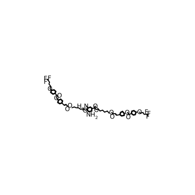 Nc1cc(C(=O)OCCCCCCOC(=O)/C=C/c2ccc(OC(=O)c3ccc(OCCCC(F)(F)F)cc3)cc2)cc(N)c1OCCCCCCOC(=O)/C=C/c1ccc(OC(=O)c2ccc(OCCCC(F)(F)F)cc2)cc1